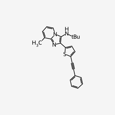 Cc1cccn2c(NC(C)(C)C)c(-c3ccc(C#Cc4ccccc4)s3)nc12